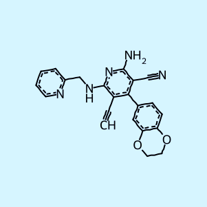 C#Cc1c(NCc2ccccn2)nc(N)c(C#N)c1-c1ccc2c(c1)OCCO2